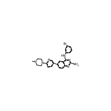 CN1CCN(c2ccc(-c3ccc4nc(N)nc(Nc5cccc(Br)c5)c4c3)cn2)CC1